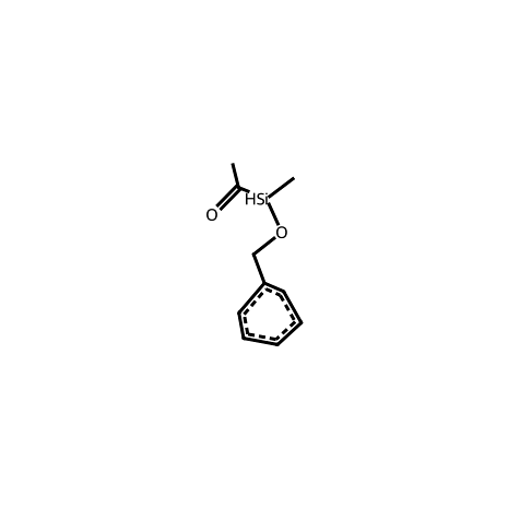 CC(=O)[SiH](C)OCc1ccccc1